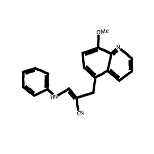 COc1ccc(CC(C#N)=CNc2ccccc2)c2cccnc12